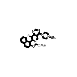 COCOc1ccc2ccccc2c1-c1ncc2c(N3CCN(C(C)(C)C)CC3)ncnc2c1F